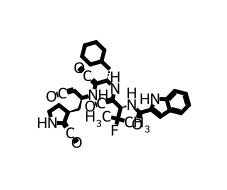 CC(C)(F)[C@@H](NC(=O)c1cc2ccccc2[nH]1)C(=C=O)N[C@@H](CC1CCCCC1)C(=C=O)N[C@H](C=C=O)C[C@@H]1CCNC1=C=O